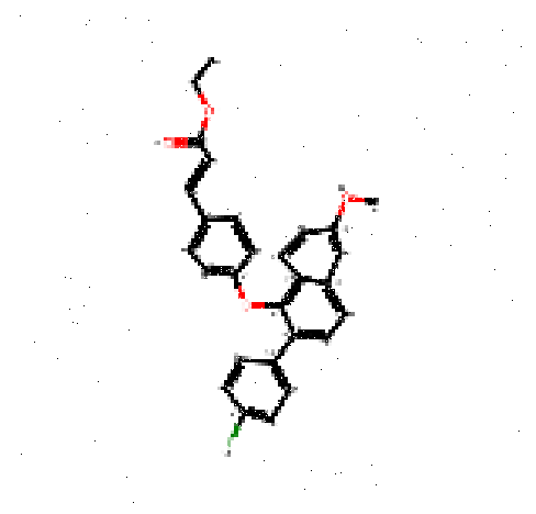 CCOC(=O)C=Cc1ccc(Oc2c(-c3ccc(F)cc3)ccc3cc(OC)ccc23)cc1